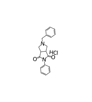 Cl.O=C1C2CN(Cc3ccccc3)CC2C(=O)N1c1ccccc1